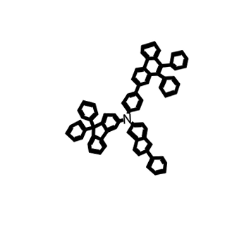 c1ccc(-c2ccc3cc(N(c4ccc(-c5ccc6c(c5)c(-c5ccccc5)c(-c5ccccc5)c5ccccc56)cc4)c4ccc5c(c4)-c4ccccc4C5(c4ccccc4)c4ccccc4)ccc3c2)cc1